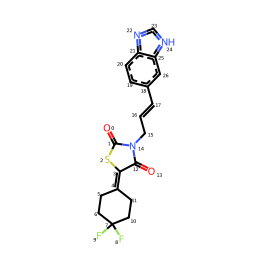 O=C1SC(=C2CCC(F)(F)CC2)C(=O)N1C/C=C/c1ccc2nc[nH]c2c1